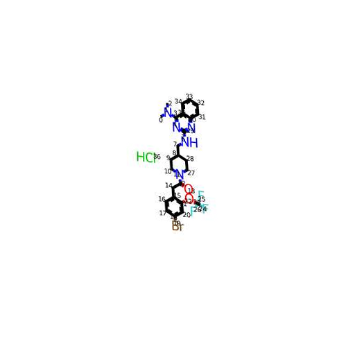 CN(C)c1nc(NCC2CCN(C(=O)Cc3ccc(Br)cc3OC(F)(F)F)CC2)nc2ccccc12.Cl